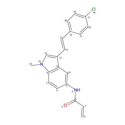 C=CC(=O)Nc1ccc2c(c1)c(/C=C/c1ccc(Cl)cc1)cn2C